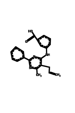 C=CCc1c(C)nc(-c2ccccc2)nc1Nc1cccc(C(=O)O)c1